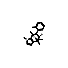 Cc1ccccc1N1[C@@H](C)C2(C)CCC1(C)c1c2ccn1C